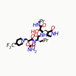 CC(C)C[C@H](NC(=O)[C@H](CN1CCC(C(F)(F)F)CC1)OC(N)=O)C(=O)N[C@@H](C[C@@H]1CCNC1=O)C(O)C(=O)NC(C)C